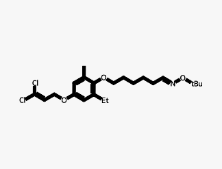 CCc1cc(OCC=C(Cl)Cl)cc(C)c1OCCCCCC=NOC(C)(C)C